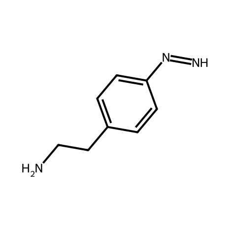 N=Nc1ccc(CCN)cc1